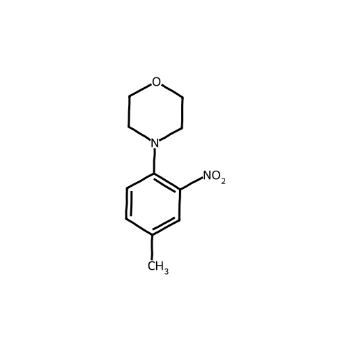 Cc1ccc(N2CCOCC2)c([N+](=O)[O-])c1